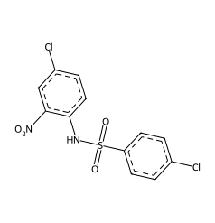 O=[N+]([O-])c1cc(Cl)ccc1NS(=O)(=O)c1ccc(Cl)cc1